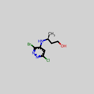 C[C@@H](CCO)Nc1cc(Cl)nnc1Br